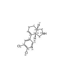 Clc1cc(C2=CCC[C@@H]3CNC[C@H]23)cnc1Cl